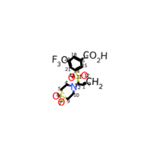 C=CC(N1CCS(=O)(=O)CC1)S(=O)(=O)c1cc(C(=O)O)cc(C(F)(F)F)c1